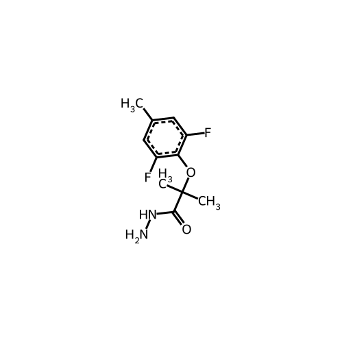 Cc1cc(F)c(OC(C)(C)C(=O)NN)c(F)c1